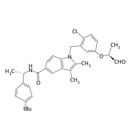 Cc1c(C)n(Cc2cc(O[C@@H](C)C=O)ccc2Cl)c2ccc(C(=O)N[C@@H](C)c3ccc(C(C)(C)C)cc3)cc12